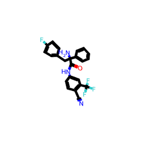 N#Cc1ccc(NC(=O)C(N)(Cc2ccc(F)cc2)c2ccccc2)cc1C(F)(F)F